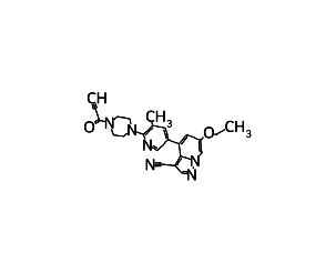 C#CC(=O)N1CCN(c2ncc(-c3cc(OCC)cn4ncc(C#N)c34)cc2C)CC1